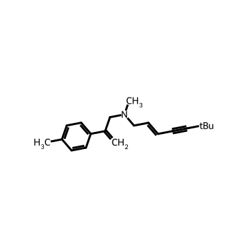 C=C(CN(C)C/C=C/C#CC(C)(C)C)c1ccc(C)cc1